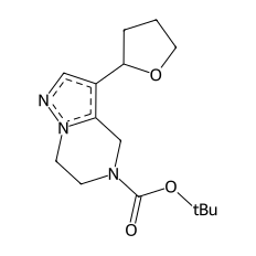 CC(C)(C)OC(=O)N1CCn2ncc(C3CCCO3)c2C1